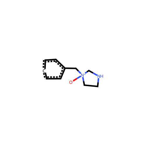 [O-][N+]1(Cc2ccccc2)CCNC1